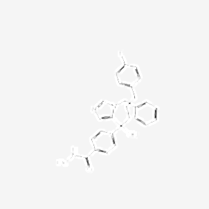 CC(C)(C)NC(=O)c1ccc(C(O)(CCCc2ccc(F)cc2)c2cncn2Cc2ccccc2)cc1